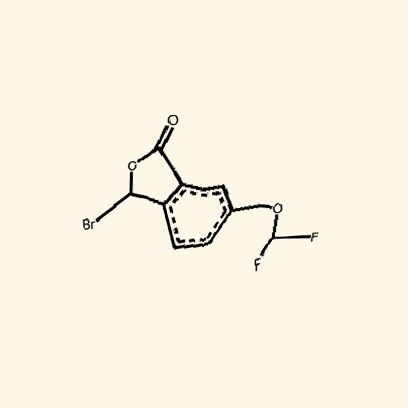 O=C1OC(Br)c2ccc(OC(F)F)cc21